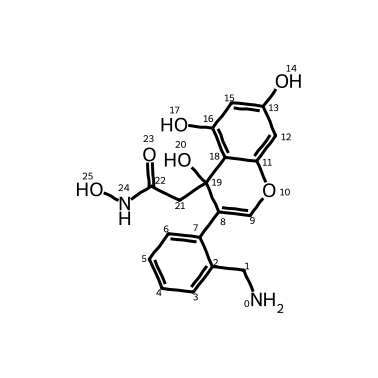 NCc1ccccc1C1=COc2cc(O)cc(O)c2C1(O)CC(=O)NO